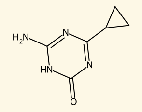 Nc1nc(C2CC2)nc(=O)[nH]1